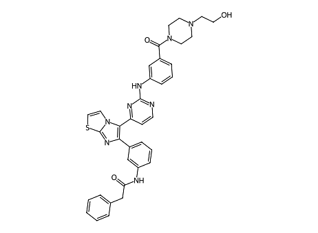 O=C(Cc1ccccc1)Nc1cccc(-c2nc3sccn3c2-c2ccnc(Nc3cccc(C(=O)N4CCN(CCO)CC4)c3)n2)c1